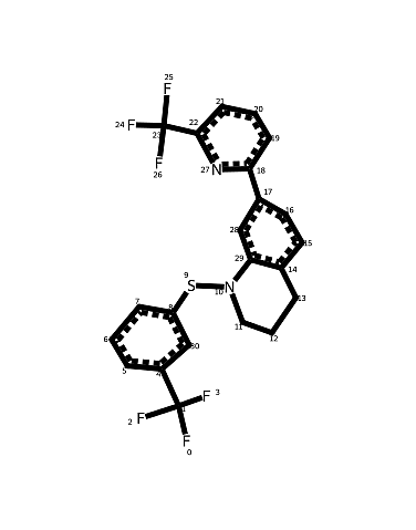 FC(F)(F)c1cccc(SN2CCCc3ccc(-c4cccc(C(F)(F)F)n4)cc32)c1